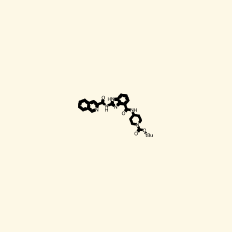 CC(C)(C)OC(=O)N1CCC(NC(=O)c2cccc3[nH]c(NC(=O)c4cc5ccccc5cn4)nc23)CC1